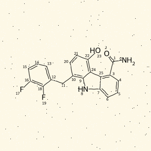 NC(=O)c1cccc2[nH]c3c(Cc4cccc(F)c4F)ccc(O)c3c12